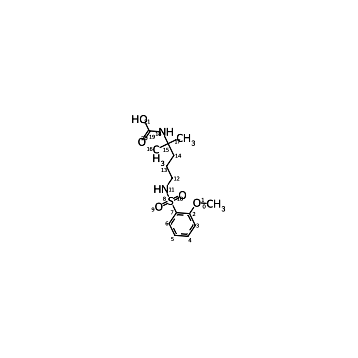 COc1ccccc1S(=O)(=O)NCCCC(C)(C)NC(=O)O